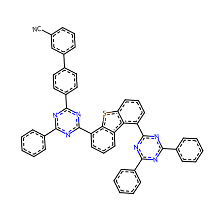 N#Cc1cccc(-c2ccc(-c3nc(-c4ccccc4)nc(-c4cccc5c4sc4cccc(-c6nc(-c7ccccc7)nc(-c7ccccc7)n6)c45)n3)cc2)c1